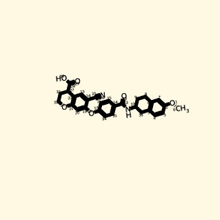 COc1ccc2c(c1)CCC(NC(=O)c1ccc(Oc3cc4c(cc3C#N)C(C(=O)O)CCO4)cc1)C2